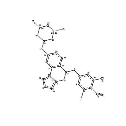 COc1c(F)cc(CN2Cn3ncnc3-c3cc(CN4C[C@@H](C)O[C@@H](C)C4)cnc32)cc1Cl